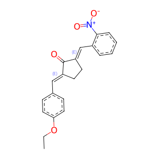 CCOc1ccc(/C=C2\CC/C(=C\c3ccccc3[N+](=O)[O-])C2=O)cc1